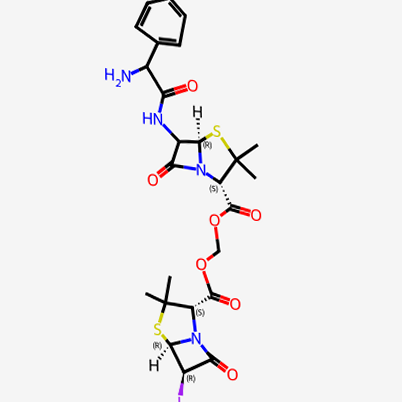 CC1(C)S[C@@H]2C(NC(=O)C(N)c3ccccc3)C(=O)N2[C@H]1C(=O)OCOC(=O)[C@@H]1N2C(=O)[C@@H](I)[C@H]2SC1(C)C